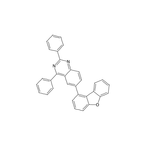 c1ccc(-c2nc(-c3ccccc3)c3cc(-c4cccc5oc6ccccc6c45)ccc3n2)cc1